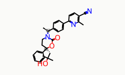 Cc1nc(-c2ccc([C@H](C)N3CC[C@](CC(C)(C)O)(c4ccccc4)OC3=O)cc2)ccc1C#N